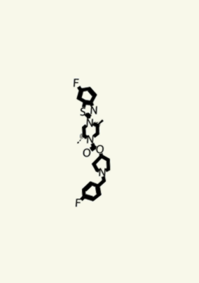 C[C@@H]1CN(c2nc3ccc(F)cc3s2)[C@@H](C)CN1C(=O)OC1CCN(Cc2ccc(F)cc2)CC1